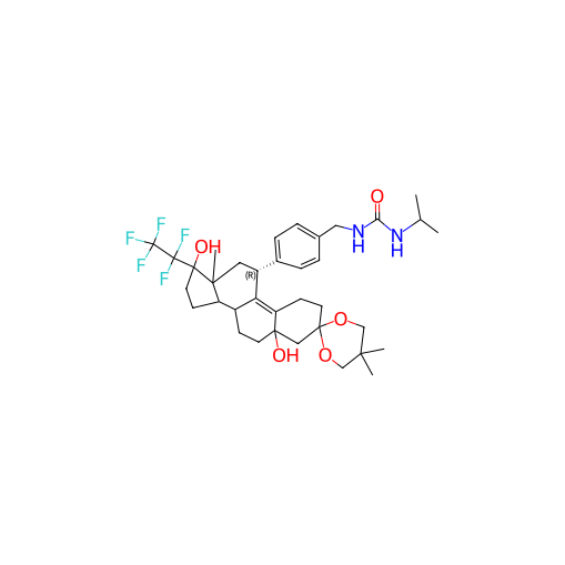 CC(C)NC(=O)NCc1ccc([C@H]2CC3(C)C(CCC3(O)C(F)(F)C(F)(F)F)C3CCC4(O)CC5(CCC4=C32)OCC(C)(C)CO5)cc1